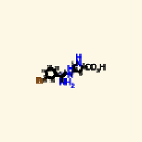 N/C(=C\NC1CN[C@H](C(=O)O)C1)c1cccc(Br)c1